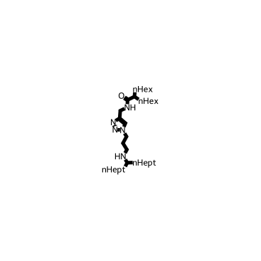 CCCCCCCC(CCCCCCC)NCCCn1cc(CNC(=O)C(CCCCCC)CCCCCC)nn1